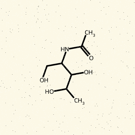 CC(=O)NC(CO)C(O)C(C)O